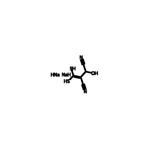 N#CC(=C(S)S)C(O)C#N.[NaH].[NaH]